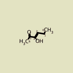 CCC=C(O)C(C)=O